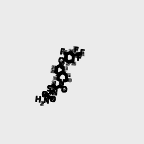 NS(=O)(=O)c1nc(C(=O)N2CCc3cc(Oc4ccc(C(F)(F)F)cc4F)ccc3C2)cs1